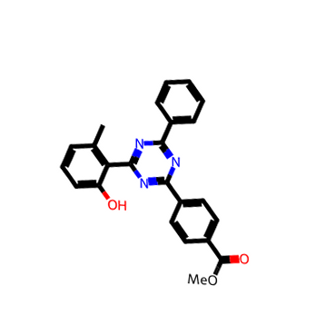 COC(=O)c1ccc(-c2nc(-c3ccccc3)nc(-c3c(C)cccc3O)n2)cc1